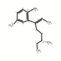 C/C=C(\CC[C@H](C)CC)c1cc(C)ccc1N